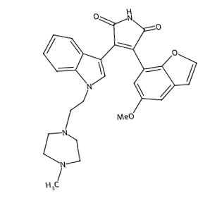 COc1cc(C2=C(c3cn(CCN4CCN(C)CC4)c4ccccc34)C(=O)NC2=O)c2occc2c1